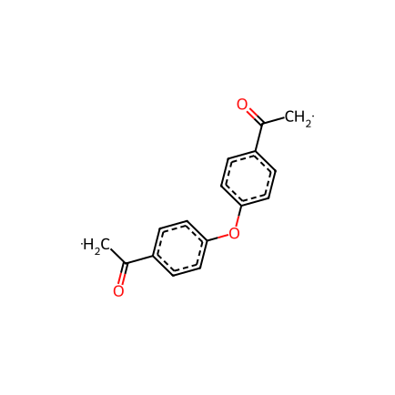 [CH2]C(=O)c1ccc(Oc2ccc(C([CH2])=O)cc2)cc1